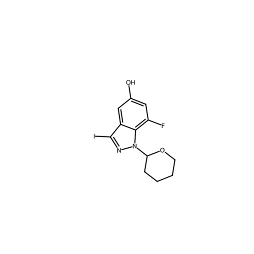 Oc1cc(F)c2c(c1)c(I)nn2C1CCCCO1